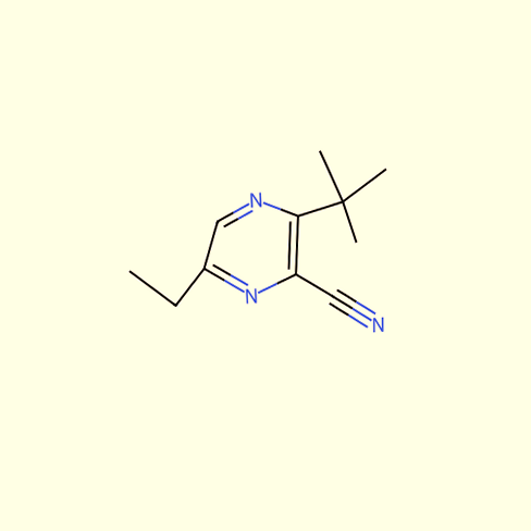 CCc1cnc(C(C)(C)C)c(C#N)n1